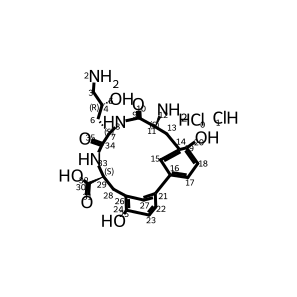 Cl.Cl.NC[C@H](O)C[C@@H]1NC(=O)[C@@H](N)Cc2cc(ccc2O)-c2ccc(O)c(c2)C[C@@H](C(=O)O)NC1=O